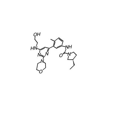 CC[C@@H]1CCN(C(=O)Nc2ccc(C)c(-c3cc(NCCO)nc(N4CCOCC4)n3)c2)C1